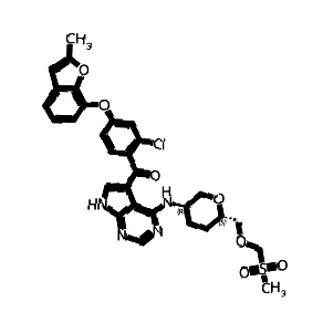 Cc1cc2cccc(Oc3ccc(C(=O)c4c[nH]c5ncnc(N[C@@H]6CC[C@@H](COCS(C)(=O)=O)OC6)c45)c(Cl)c3)c2o1